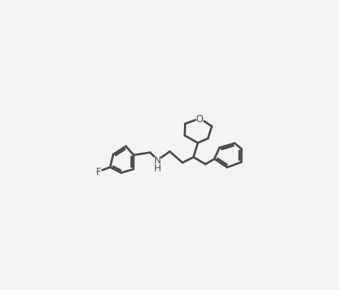 Fc1ccc(CNCCC(Cc2ccccc2)C2CCOCC2)cc1